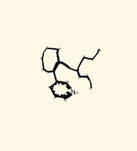 CCC[C](CCC)C1=C(c2cccnc2)CCCC1